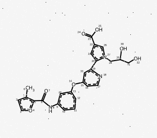 Cc1ccoc1C(=O)Nc1cccc(Oc2ccnc(-c3cc(C(=O)O)cn3CC(O)CO)c2)c1